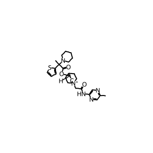 Cc1cnc(NC(=O)C[N+]23CCC(CC2)[C@@H](OC(=O)C(C)(c2cccs2)N2CCCCC2)C3)cn1